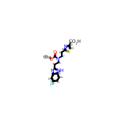 CC(C)(C)OC(=O)N(CCc1nc2cc(F)ccc2[nH]1)CCc1nc(C(=O)O)cs1